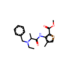 CCN(Cc1ccccc1)C(C)C(=O)Nc1c(C)csc1C(=O)OC